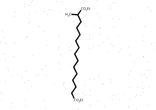 CCOC(=O)CCCCCCCCCCCCC(C)C(=O)OCC